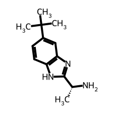 C[C@@H](N)c1nc2cc(C(C)(C)C)ccc2[nH]1